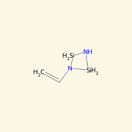 C=CN1[SiH2]N[SiH2]1